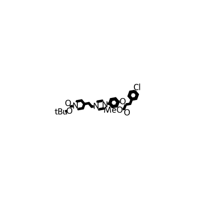 COC(=O)C(Cc1ccc(Cl)cc1)Oc1ccc(N2CCN(CCC3CCN(C(=O)OC(C)(C)C)CC3)CC2)cc1